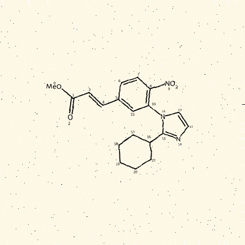 COC(=O)/C=C/c1ccc([N+](=O)[O-])c(-n2ccnc2C2CCCCC2)c1